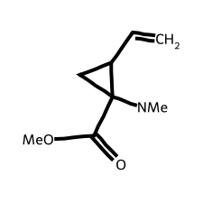 C=CC1CC1(NC)C(=O)OC